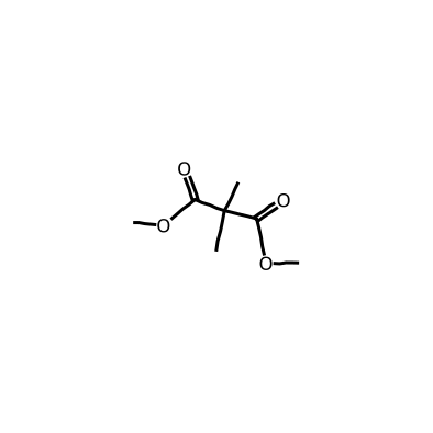 COC(=O)C(C)(C)C(=O)OC